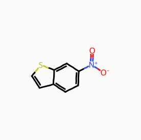 O=[N+]([O-])c1ccc2ccsc2c1